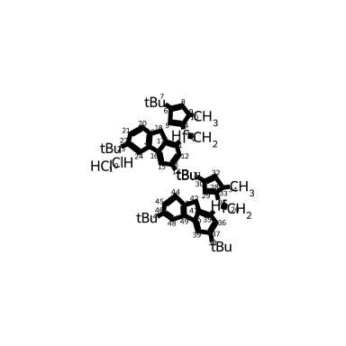 Cl.Cl.[CH2]=[Hf]([C]1=CC(C(C)(C)C)=CC1C)[c]1cc(C(C)(C)C)cc2c1Cc1ccc(C(C)(C)C)cc1-2.[CH2]=[Hf]([C]1=CC(C(C)(C)C)=CC1C)[c]1cc(C(C)(C)C)cc2c1Cc1ccc(C(C)(C)C)cc1-2